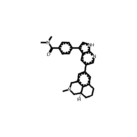 CN1Cc2cc(-c3cnc4[nH]cc(-c5ccc(C(=O)N(C)C)cc5)c4c3)cc3c2[C@@H](CCC3)C1